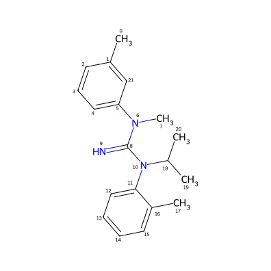 Cc1cccc(N(C)C(=N)N(c2ccccc2C)C(C)C)c1